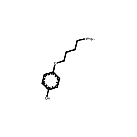 CCCCCCCCCCCOc1ccc(O)cc1